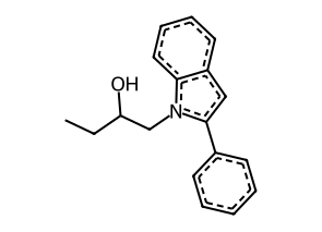 CCC(O)Cn1c(-c2ccccc2)cc2ccccc21